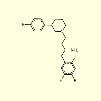 NC(CCN1CCCC(c2ccc(F)cc2)C1)Cc1cc(F)c(F)cc1F